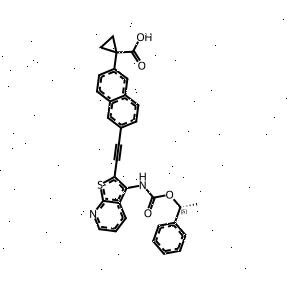 C[C@@H](OC(=O)Nc1c(C#Cc2ccc3cc(C4(C(=O)O)CC4)ccc3c2)sc2ncccc12)c1ccccc1